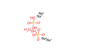 O.O.O=P([O-])(O)O.O=P([O-])([O-])[O-].[Na+].[Na+].[Na+].[Na+]